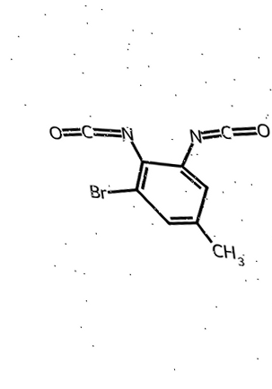 Cc1cc(Br)c(N=C=O)c(N=C=O)c1